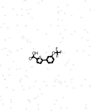 O=C(O)c1ccc(-c2cccc(OC(F)(F)F)c2)s1